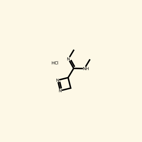 CN=C(NC)C1CN=N1.Cl